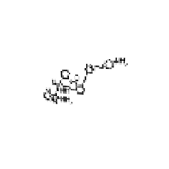 CC(NC(=O)c1c(N)nn2cccnc12)c1cc2cccc(C#Cc3cnn(CCN4CCC(N)CC4)c3)c2c(=O)n1-c1ccccc1